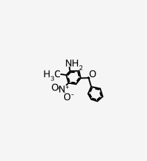 Cc1c(N)cc(C(=O)c2ccccc2)cc1[N+](=O)[O-]